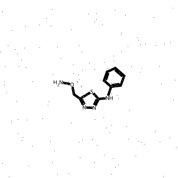 NOCc1nnc(Nc2ccccc2)s1